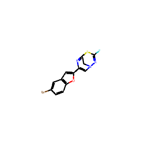 FC1=NN2C=C(c3cc4cc(Br)ccc4o3)N=C(C2)S1